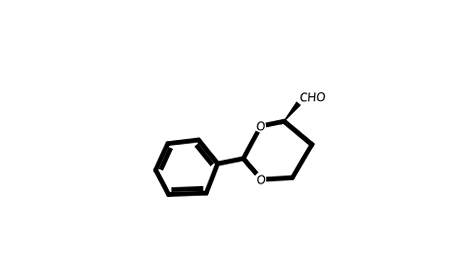 O=C[C@H]1CCOC(c2ccccc2)O1